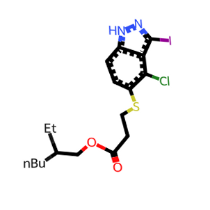 CCCCC(CC)COC(=O)CCSc1ccc2[nH]nc(I)c2c1Cl